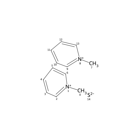 C[n+]1ccccc1.C[n+]1ccccc1.[S-2]